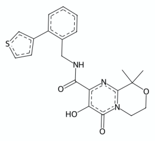 CC1(C)OCCn2c1nc(C(=O)NCc1ccccc1-c1ccsc1)c(O)c2=O